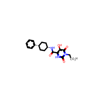 O=C(O)Cn1c(=O)[nH]c(C(=O)N[C@H]2CC[C@@H](c3ccccc3)CC2)c(O)c1=O